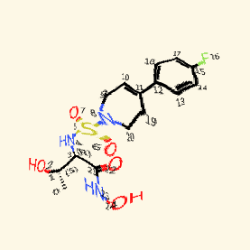 C[C@H](O)[C@@H](NS(=O)(=O)N1CC=C(c2ccc(F)cc2)CC1)C(=O)NO